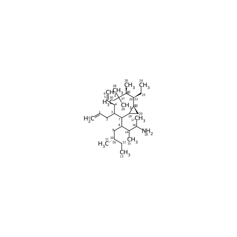 C=CCC(CC=C)C(C(C[C@@H](C)CC)C(C)C(C)N)C1C[C@@H]1[C@H](CC)[C@H](C)C(C)(C)C